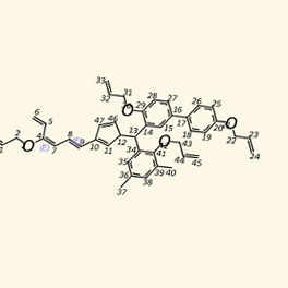 C=CCO/C(C=C)=C/C=C/C1=CC(C(c2cc(-c3ccc(OCC=C)cc3)ccc2OCC=C)c2cc(C)cc(C)c2OCC=C)C=C1